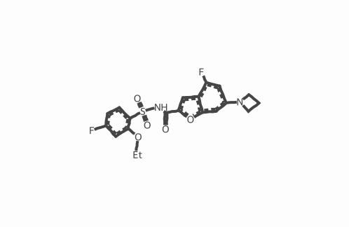 CCOc1cc(F)ccc1S(=O)(=O)NC(=O)c1cc2c(F)cc(N3CCC3)cc2o1